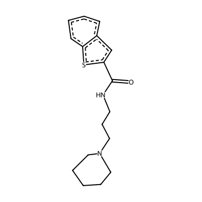 O=C(NCCCN1CCCCC1)c1cc2ccccc2s1